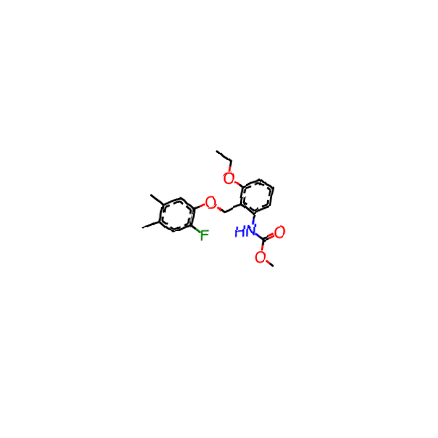 CCOc1cccc(NC(=O)OC)c1COc1cc(C)c(C)cc1F